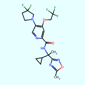 Cc1nc(C(C)(NC(=O)c2cc(OCC(F)(F)F)c(N3CCC(F)(F)C3)cn2)C2CC2)no1